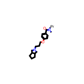 CC(C)N(C)C(=O)c1ccc(OCCCN2CC3CCCC3C2)cc1